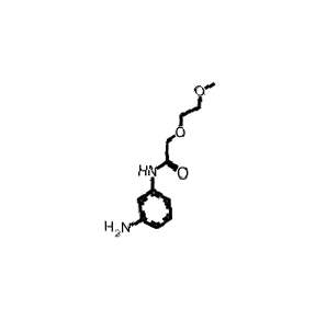 COCCOCC(=O)Nc1cccc(N)c1